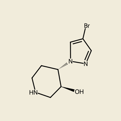 O[C@H]1CNCC[C@@H]1n1cc(Br)cn1